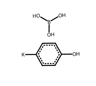 OB(O)O.Oc1cc[c]([K])cc1